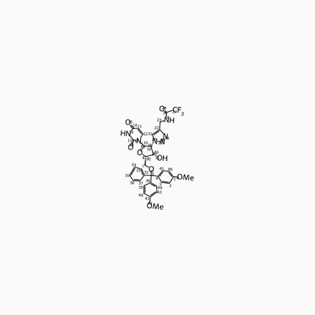 COc1ccc(C(OC[C@H]2O[C@@H](n3ccc(=O)[nH]c3=O)[C@H](n3cc(CNC(=O)C(F)(F)F)nn3)[C@@H]2O)(c2ccccc2)c2ccc(OC)cc2)cc1